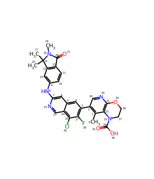 Cc1c(-c2cc3cc(Nc4ccc5c(c4)C(C)(C)N(C)C5=O)ncc3c(Cl)c2F)cnc2c1N(C(=O)O)CCO2